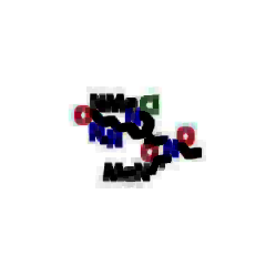 C=CC(=O)N1C[C@@H](CNC)O[C@@H](c2cc(Cl)nc(-c3cc(C(=O)NC)ncn3)c2)C1